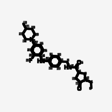 CCN1CC(C(=O)NCc2ccc(Nc3ccc(N4CCC(C)CC4)cc3F)cc2)CC1=O